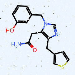 NC(=O)Cc1c(Cc2ccsc2)ncn1Cc1cccc(O)c1